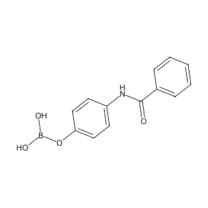 O=C(Nc1ccc(OB(O)O)cc1)c1ccccc1